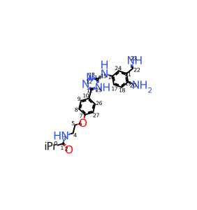 CC(C)C(=O)NCCOc1ccc(-c2nnc(Nc3ccc(N)c(C=N)c3)[nH]2)cc1